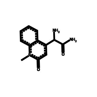 Cn1c(=O)cc(C(N)C(N)=O)c2ccccc21